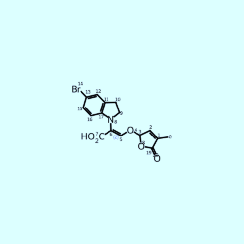 CC1=CC(O/C=C(/C(=O)O)N2CCc3cc(Br)ccc32)OC1=O